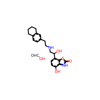 O=CO.O=c1[nH]c2c(O)ccc(C(O)CNCCc3ccc4c(c3)CCCC4)c2s1